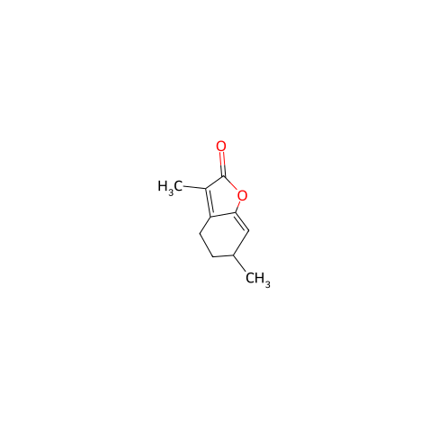 CC1=C2CCC(C)C=C2OC1=O